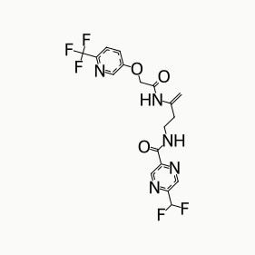 C=C(CCNC(=O)c1cnc(C(F)F)cn1)NC(=O)COc1ccc(C(F)(F)F)nc1